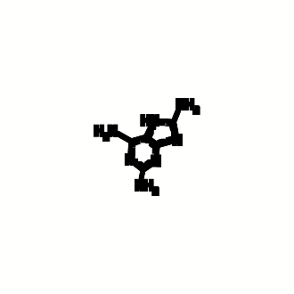 Nc1nc(N)c2[nH]c(N)nc2n1